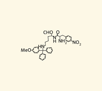 COc1ccc(C(NCCCCC(C=O)NC(=O)C(N)Cc2ccc([N+](=O)[O-])cc2)(c2ccccc2)c2ccccc2)cc1